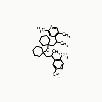 Cc1cc(C(C)CC2(OC3(CC(C)c4cc(C)ncc4C)CCCCC3)CCCCC2)c(C)cn1